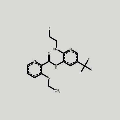 CCSc1cccnc1C(=O)Nc1cc(C(F)(F)F)cnc1NCCF